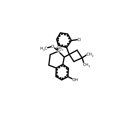 CO[N+]1(C)CCc2ccc(O)cc2C1C1(c2ccccc2Cl)CC(C)(C)C1